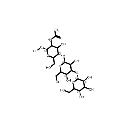 CC(=O)NC1C(O)[C@H](O[C@@H]2OC(CO)[C@H](O)C(O[C@H]3OC(CO)[C@H](O)C(O)[C@@H]3O)C2O)C(CO)O[C@H]1OS